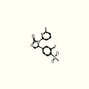 Cc1cccc(-n2c(-c3ccc(S(C)(=O)=O)c(F)c3)coc2=O)n1